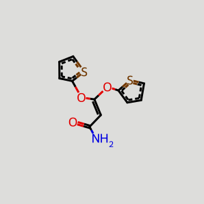 NC(=O)C=C(Oc1cccs1)Oc1cccs1